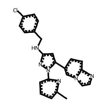 Cc1cccc(-n2nc(NCc3ccc(Cl)cc3)cc2-c2ccc3nccn3c2)n1